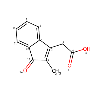 CC1=C(CC(=O)O)c2ccccc2C1=O